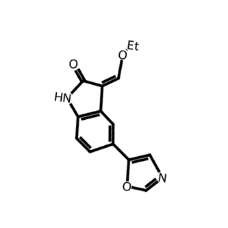 CCOC=C1C(=O)Nc2ccc(-c3cnco3)cc21